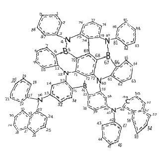 c1ccc(N2B3c4ccccc4N4c5cc(N(c6ccccc6)c6cccc7ccccc67)ccc5B5c6ccc(N(c7ccccc7)c7cccc8ccccc78)cc6N6c7ccccc7B7c8c(c3c4c5c86)-c3c2cccc3N7c2ccccc2)cc1